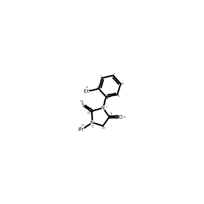 CCc1ccccc1N1C(=O)CN(C(C)C)C1=S